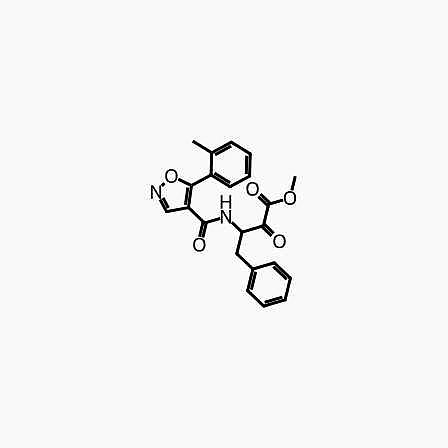 COC(=O)C(=O)C(Cc1ccccc1)NC(=O)c1cnoc1-c1ccccc1C